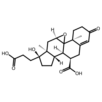 C[C@]12CCC(=O)C=C1C[C@@H](C(=O)O)[C@H]1[C@@H]3CC[C@](O)(CCC(=O)O)[C@@]3(C)C[C@H]3OC132